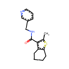 Cc1sc2c(c1C(=O)NCc1cccnc1)CCCC2